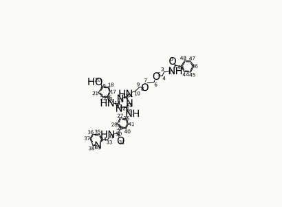 O=C(NCCOCCOCCNc1nc(Nc2ccc(O)cc2)nc(Nc2ccc(C(=O)NCc3ccccn3)cc2)n1)c1ccccc1